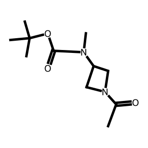 CC(=O)N1CC(N(C)C(=O)OC(C)(C)C)C1